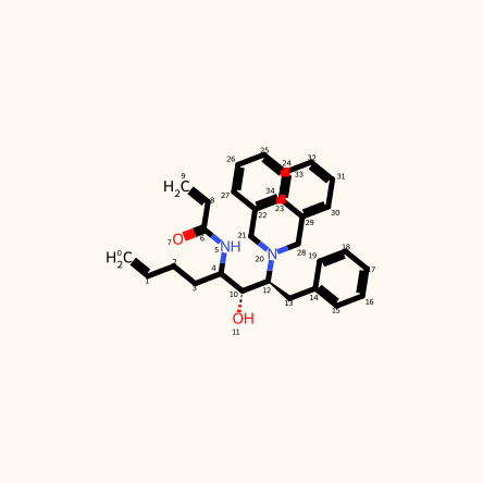 C=CCCC(NC(=O)C=C)[C@@H](O)[C@H](Cc1ccccc1)N(Cc1ccccc1)Cc1ccccc1